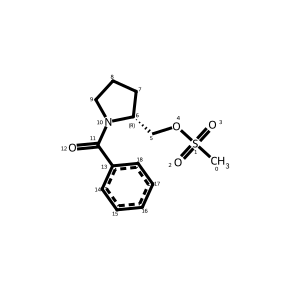 CS(=O)(=O)OC[C@H]1CCCN1C(=O)c1ccccc1